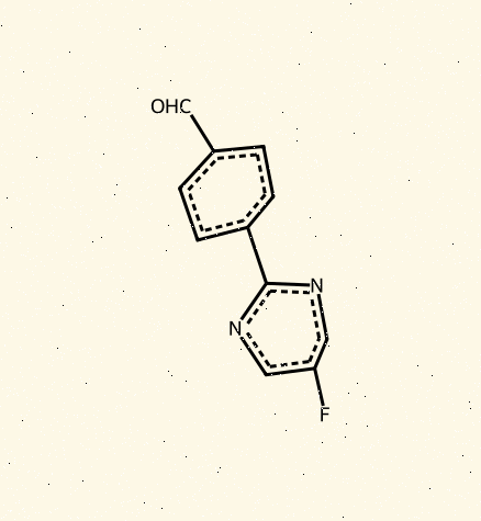 O=Cc1ccc(-c2ncc(F)cn2)cc1